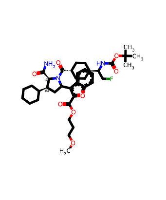 COCCCOC(=O)c1oc2ccccc2c1C1C[C@@H](C2CCCCC2)[C@@H](C(N)=O)N1C(=O)[C@H]1CC[C@H](C(CF)NC(=O)OC(C)(C)C)CC1